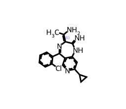 C/C(N)=C1\N=C(c2ccccc2Cl)c2cnc(C3CC3)cc2NC1=N